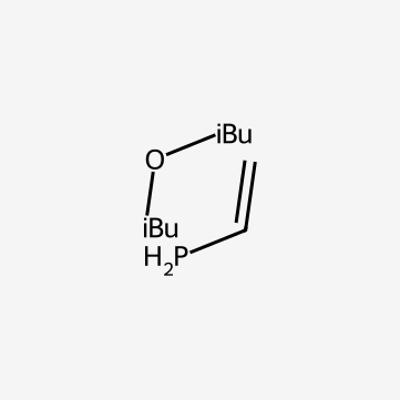 C=CP.CCC(C)OC(C)CC